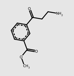 COC(=O)c1cccc(C(=O)CCN)c1